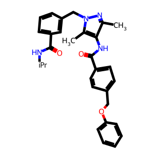 Cc1nn(Cc2cccc(C(=O)NC(C)C)c2)c(C)c1NC(=O)c1ccc(COc2ccccc2)cc1